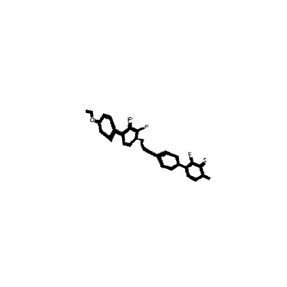 CCOC1CCC(C2CC[C@H](CCC3CCC(C4CCC(C)C(F)C4F)CC3)C(F)C2F)CC1